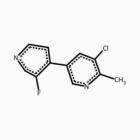 Cc1ncc(-c2ccncc2F)cc1Cl